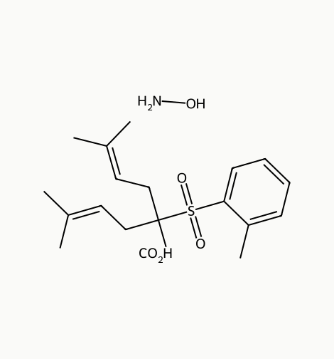 CC(C)=CCC(CC=C(C)C)(C(=O)O)S(=O)(=O)c1ccccc1C.NO